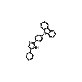 c1ccc(-c2cnc(-c3ccc(-n4c5ccccc5c5ccccc54)cc3)[nH]2)cc1